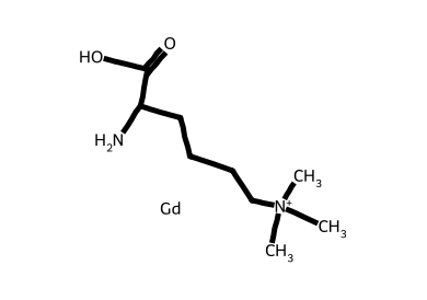 C[N+](C)(C)CCCCC(N)C(=O)O.[Gd]